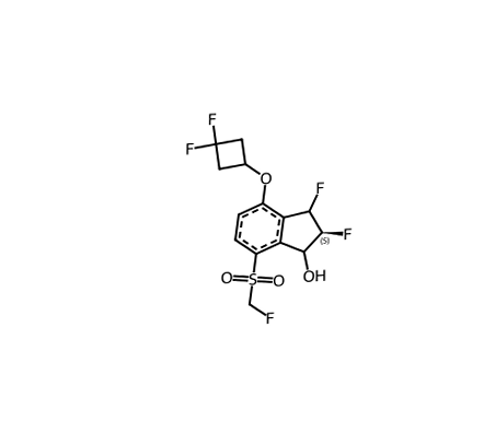 O=S(=O)(CF)c1ccc(OC2CC(F)(F)C2)c2c1C(O)[C@H](F)C2F